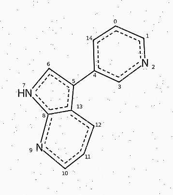 c1cncc(-c2c[nH]c3ncccc23)c1